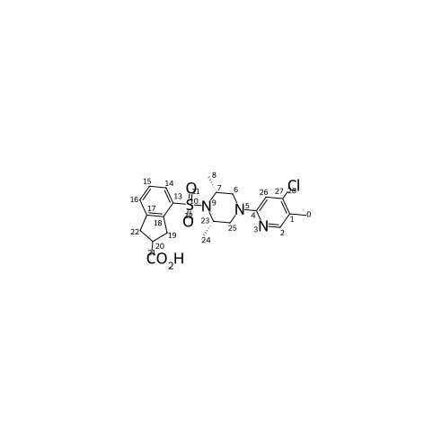 Cc1cnc(N2C[C@@H](C)N(S(=O)(=O)c3cccc4c3CC(C(=O)O)C4)[C@@H](C)C2)cc1Cl